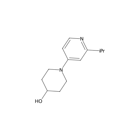 CC(C)c1cc(N2CCC(O)CC2)ccn1